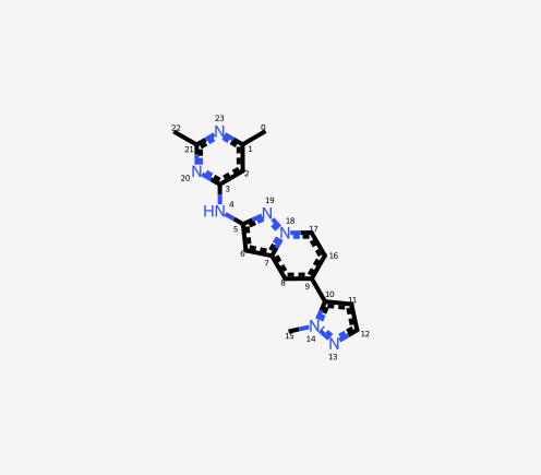 Cc1cc(Nc2cc3cc(-c4ccnn4C)ccn3n2)nc(C)n1